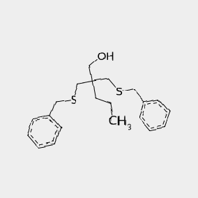 CCCC(CO)(CSCc1ccccc1)CSCc1ccccc1